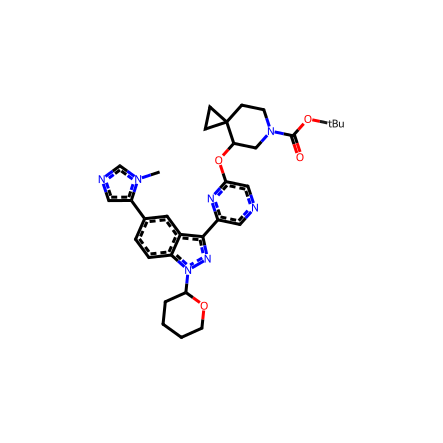 Cn1cncc1-c1ccc2c(c1)c(-c1cncc(OC3CN(C(=O)OC(C)(C)C)CCC34CC4)n1)nn2C1CCCCO1